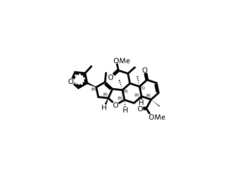 COC(=O)C(C)C1[C@]2(C)C3=C(C)[C@H](c4cocc4C)C[C@H]3O[C@@H]2C[C@H]2[C@](C)(C(=O)OC)C=CC(=O)[C@]12C